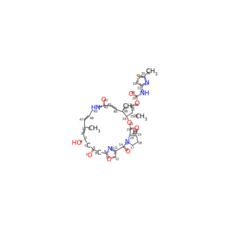 CC1=C\[C@@H](O)CC(=O)Cc2nc(co2)C(=O)N2CCC[C@@H]2C(=O)O[C@H]([C@@H](C)COC(=O)Nc2csc(C)n2)[C@H](C)/C=C/C(=O)NC\C=C\1